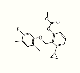 COC(=O)Oc1cccc(C2CC2)c1COc1cc(F)c(C)cc1F